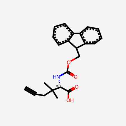 C#CCC(C)(C)[C@H](NC(=O)OCC1c2ccccc2-c2ccccc21)C(=O)O